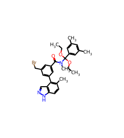 CCOC(OCC)(c1cc(C)cc(C)c1)N(C)C(=O)c1cc(CBr)cc(-c2c(C)ccc3[nH]ncc23)c1